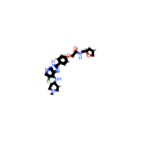 CN1CCC(Nc2c(Cl)cnc3[nH]c(-c4ccc(OCC(=O)NCC5CCCO5)cc4)nc23)CC1